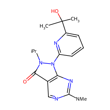 CNc1ncc2c(=O)n(C(C)C)n(-c3cccc(C(C)(C)O)n3)c2n1